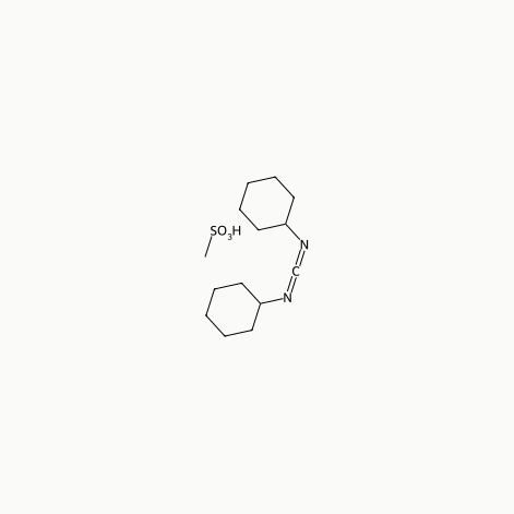 C(=NC1CCCCC1)=NC1CCCCC1.CS(=O)(=O)O